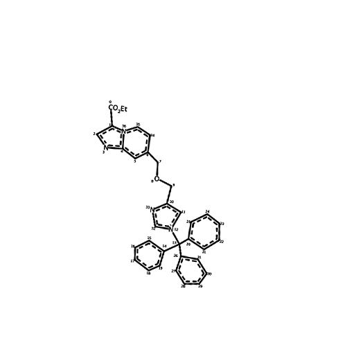 CCOC(=O)c1cnc2cc(COCc3cn(C(c4ccccc4)(c4ccccc4)c4ccccc4)cn3)ccn12